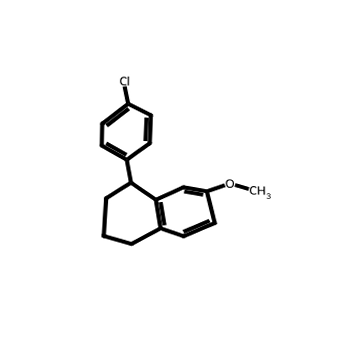 COc1ccc2c(c1)C(c1ccc(Cl)cc1)CCC2